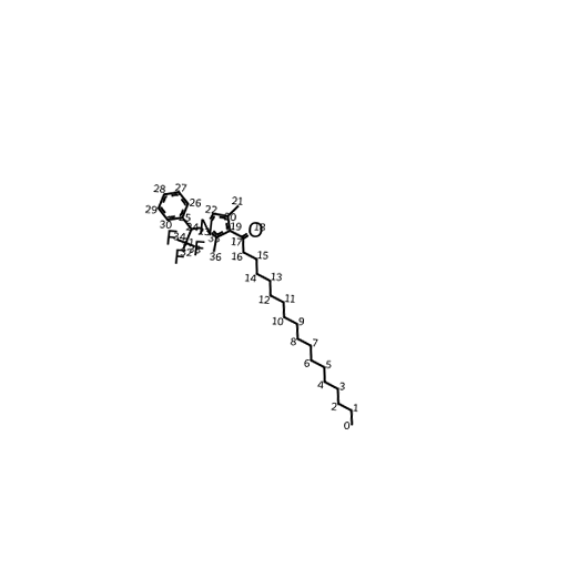 CCCCCCCCCCCCCCCCCC(=O)c1c(C)cn(C(c2ccccc2)C(F)(F)F)c1C